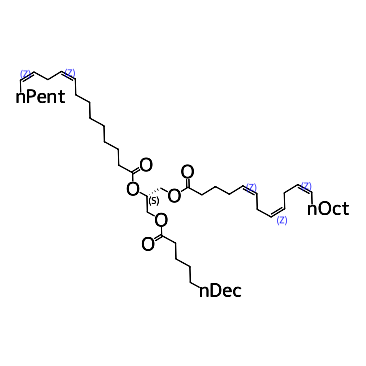 CCCCC/C=C\C/C=C\CCCCCCCC(=O)O[C@H](COC(=O)CCC/C=C\C/C=C\C/C=C\CCCCCCCC)COC(=O)CCCCCCCCCCCCCC